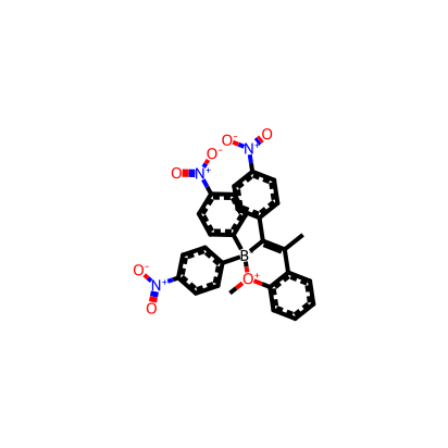 CC1=C(c2ccc([N+](=O)[O-])cc2)[B-](c2ccc([N+](=O)[O-])cc2)(c2ccc([N+](=O)[O-])cc2)[O+](C)c2ccccc21